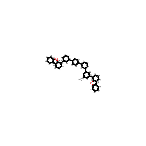 N#Cc1cc(-c2cccc(-c3ccc(-c4cccc(-c5cccc6c5oc5ccccc56)c4)cc3)c2)cc(-c2cccc3c2oc2ccccc23)c1